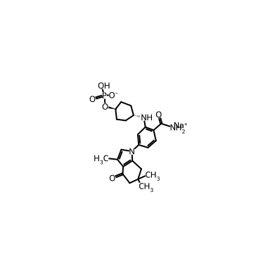 Cc1cn(-c2ccc(C(N)=O)c(N[C@H]3CC[C@H](OP(=O)([O-])O)CC3)c2)c2c1C(=O)CC(C)(C)C2.[Na+]